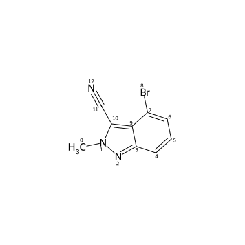 Cn1nc2cccc(Br)c2c1C#N